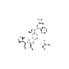 O=C(O)C(F)(F)F.O=C(O)CC(c1ccccc1)c1c[nH]c2cc(OC(NC(=O)c3ncc[nH]3)C(=O)O)ccc12